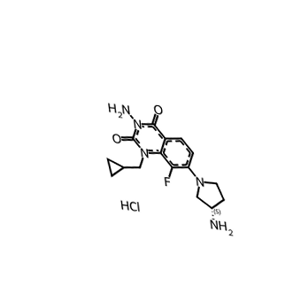 Cl.N[C@H]1CCN(c2ccc3c(=O)n(N)c(=O)n(CC4CC4)c3c2F)C1